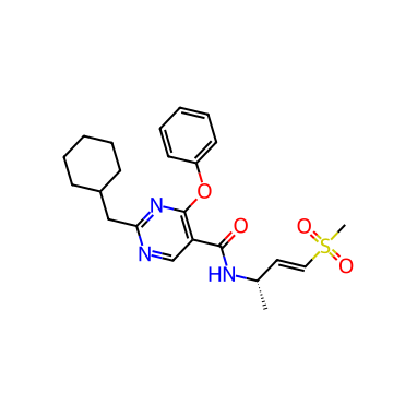 C[C@@H](/C=C/S(C)(=O)=O)NC(=O)c1cnc(CC2CCCCC2)nc1Oc1ccccc1